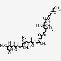 C=CC(=O)OCCOC(=O)NCC(C)(C)CC(C)CCNC(=O)COC(C)COC(=O)NCCC(C)(C)CC(C)CNC(=O)Nc1nc(=O)cc(C)[nH]1